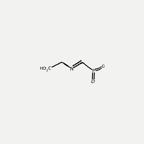 O=C(O)CN=CP(=O)=O